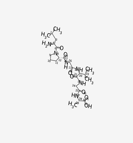 CC(C)C[C@H](N)C(=O)N1CCC[C@H]1C(=O)NCC(=O)N[C@H](C(=O)NCC(=O)N[C@@H](C)C(=O)O)C(C)C